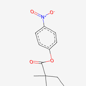 CCC(C)(CC)C(=O)Oc1ccc([N+](=O)[O-])cc1